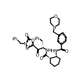 CC(C)C[C@H](NC(=O)[C@@H]1CCCC[C@@H]1NC(=O)c1cccc(CN2CCOCC2)c1)C(=O)c1nn(CC(C)C)c(=O)o1